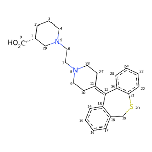 O=C(O)[C@@H]1CCCN(CCN2CCC(=C3c4ccccc4CSc4ccccc43)CC2)C1